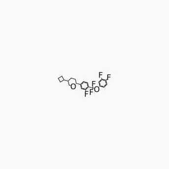 Fc1ccc(OC(F)(F)c2ccc(C3CCC(C4CCC4)CO3)cc2F)cc1F